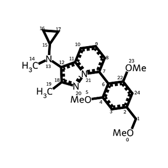 COCc1cc(OC)c(-c2cccc3c(N(C)C4CC4)c(C)nn23)c(OC)c1